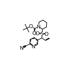 C=CC(c1ccc(C#N)nc1)S(=O)(=O)C1CCCCN1C(=O)OC(C)(C)C